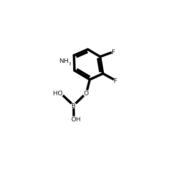 N.OB(O)Oc1cccc(F)c1F